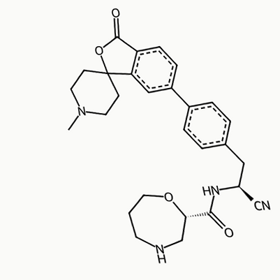 CN1CCC2(CC1)OC(=O)c1ccc(-c3ccc(C[C@@H](C#N)NC(=O)[C@@H]4CNCCCO4)cc3)cc12